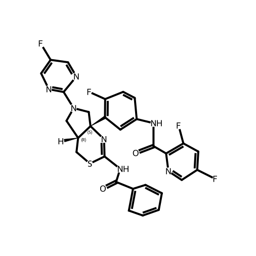 O=C(NC1=N[C@@]2(c3cc(NC(=O)c4ncc(F)cc4F)ccc3F)CN(c3ncc(F)cn3)C[C@H]2CS1)c1ccccc1